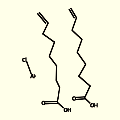 C=CCCCCCCC(=O)O.C=CCCCCCCC(=O)O.[Al][Cl]